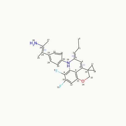 CC/C=C(\C=C1/c2cc(F)c(F)cc2OCC12CC2)Nc1ccc(/C(C)=C(\C)N)cc1